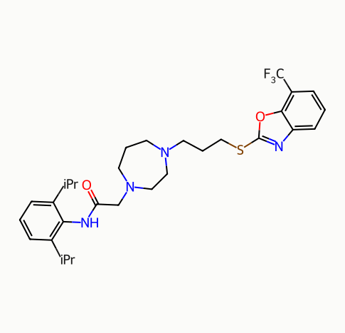 CC(C)c1cccc(C(C)C)c1NC(=O)CN1CCCN(CCCSc2nc3cccc(C(F)(F)F)c3o2)CC1